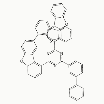 c1ccc(-c2cccc(-c3nc(-c4ccc5c(c4)oc4ccccc45)nc(-c4cccc5oc6ccc(-c7cccc8c7sc7ccccc78)cc6c45)n3)c2)cc1